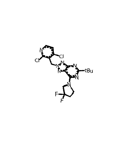 CC(C)(C)c1nc(N2CCC(F)(F)C2)c2nn(Cc3c(Cl)ccnc3Cl)nc2n1